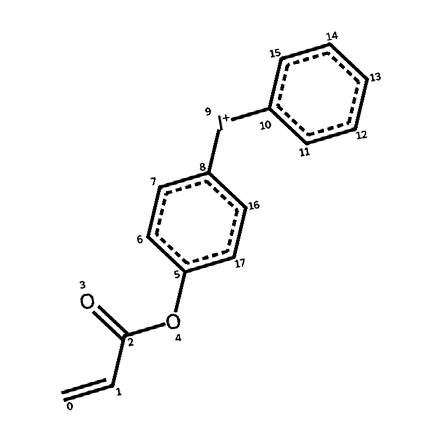 C=CC(=O)Oc1ccc([I+]c2ccccc2)cc1